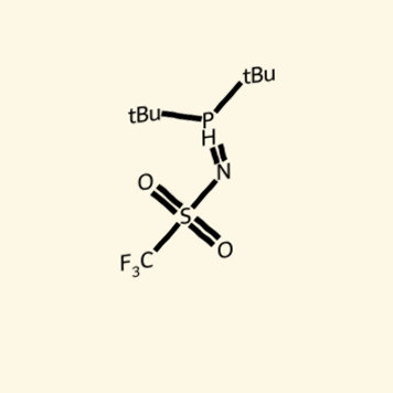 CC(C)(C)[PH](=NS(=O)(=O)C(F)(F)F)C(C)(C)C